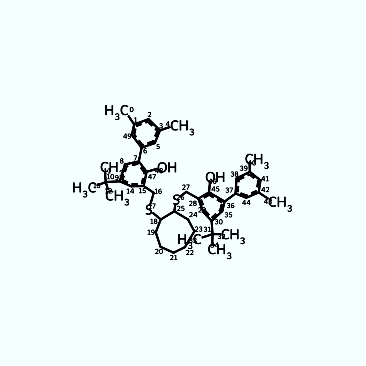 Cc1cc(C)cc(-c2cc(C(C)(C)C)cc(CSC3CCCCCCC3SCc3cc(C(C)(C)C)cc(-c4cc(C)cc(C)c4)c3O)c2O)c1